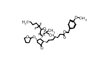 CCCCC(F)(F)C(CC[C@H]1[C@H](OC2CCCO2)CC(=O)[C@@H]1CCCCCCC(=O)OCc1ccc(OC)cc1)O[Si](C)(C)C